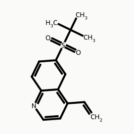 C=Cc1ccnc2ccc(S(=O)(=O)C(C)(C)C)cc12